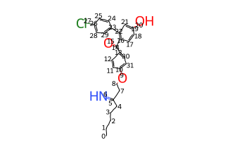 CCCCCC(=N)CCOc1ccc(C(=O)c2ccc(O)cc2-c2ccc(Cl)cc2)cc1